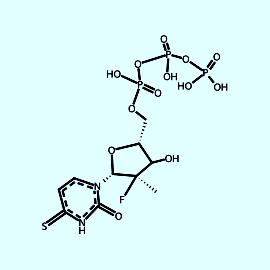 C[C@@]1(F)C(O)[C@@H](COP(=O)(O)OP(=O)(O)OP(=O)(O)O)O[C@H]1n1ccc(=S)[nH]c1=O